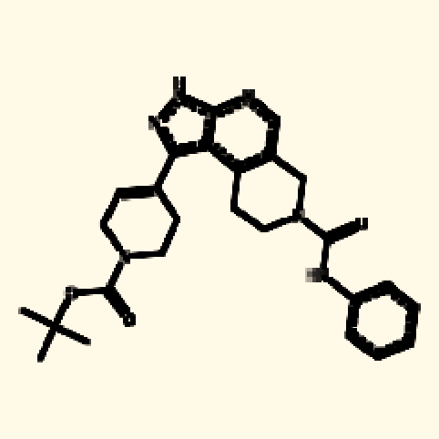 CC(C)(C)OC(=O)N1CC=C(c2n[nH]c3ncc4c(c23)CCN(C(=O)Nc2ccccc2)C4)CC1